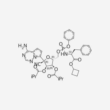 CC(C)C(=O)O[C@H]1[C@@H](OC(=O)C(C)C)[C@](C#N)(c2ccc3c(N)ncnn23)O[C@@H]1COP(=O)(N[C@@H](Cc1ccccc1)C(=O)OC1CCC1)Oc1ccccc1